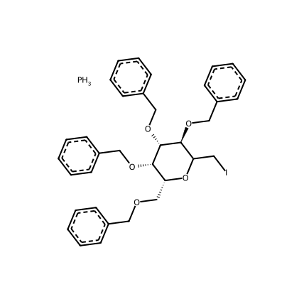 ICC1O[C@H](COCc2ccccc2)[C@H](OCc2ccccc2)[C@H](OCc2ccccc2)[C@H]1OCc1ccccc1.P